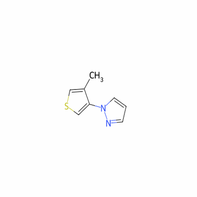 Cc1cscc1-n1cccn1